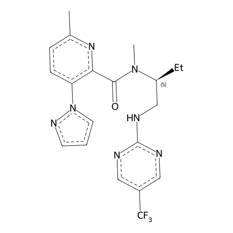 CC[C@@H](CNc1ncc(C(F)(F)F)cn1)N(C)C(=O)c1nc(C)ccc1-n1cccn1